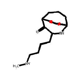 CNCCCCC1NC2CCCCC(CCC2)C1=O